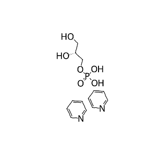 O=P(O)(O)OC[C@H](O)CO.c1ccncc1.c1ccncc1